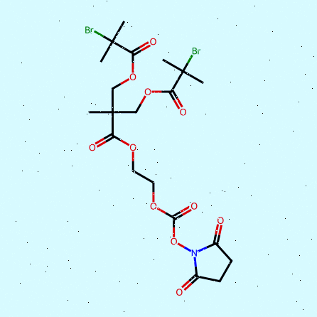 CC(C)(Br)C(=O)OCC(C)(COC(=O)C(C)(C)Br)C(=O)OCCOC(=O)ON1C(=O)CCC1=O